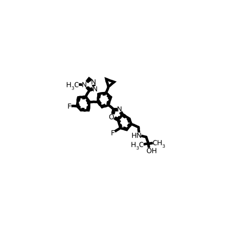 Cn1cnnc1-c1cc(F)ccc1-c1cc(-c2nc3cc(CNCC(C)(C)O)cc(F)c3o2)cc(C2CC2)c1